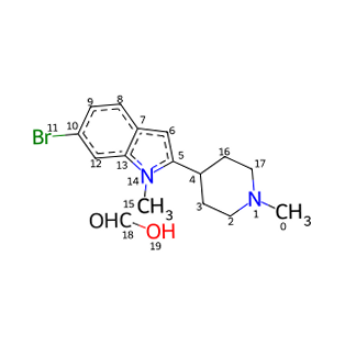 CN1CCC(c2cc3ccc(Br)cc3n2C)CC1.O=CO